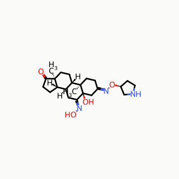 C[C@]12CC[C@H]3[C@@H](C/C(=N\O)[C@@]4(O)C/C(=N/O[C@H]5CCNC5)CC[C@]34C)[C@@H]1CCC2=O